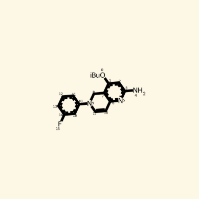 CC(C)COc1cc(N)nc2c1CN(c1cccc(F)c1)C=C2